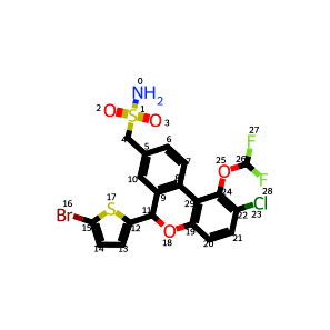 NS(=O)(=O)Cc1ccc2c(c1)C(c1ccc(Br)s1)Oc1ccc(Cl)c(OC(F)F)c1-2